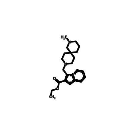 CCOC(=O)c1cc2ccccn2c1CN1CCC2(CCCN(C)C2)CC1